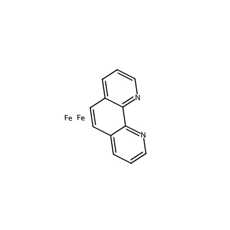 [Fe].[Fe].c1cnc2c(c1)ccc1cccnc12